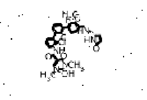 COc1c(CNC[C@@H]2CCC(=O)N2)ccc(-c2cccc(-c3cccc(NC(=O)C4=CN(C)C(O)N(C)C4=O)c3Cl)c2Cl)c1F